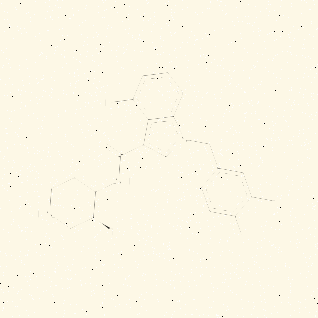 O=C(NC1CCNC[C@@H]1F)c1cn(Cc2ccc(F)c(F)c2)c2cccc(F)c12